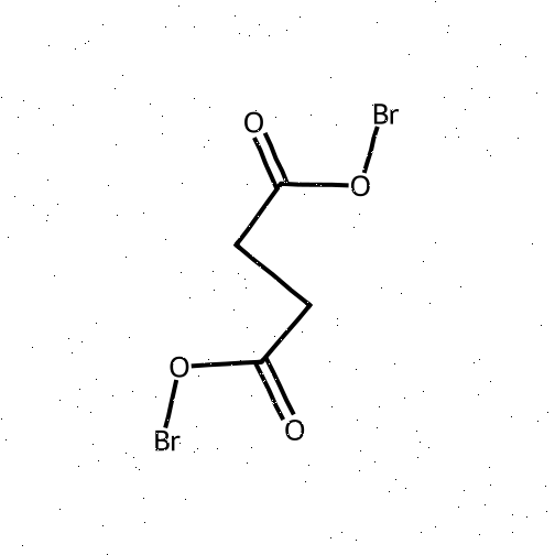 O=C(CCC(=O)OBr)OBr